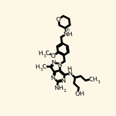 CCCC(CCO)Nc1nc(N)nc2c(C)nn(Cc3ccc(CN[C@@H]4CCCOC4)cc3OC)c12